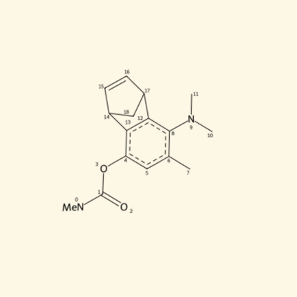 CNC(=O)Oc1cc(C)c(N(C)C)c2c1C1C=CC2C1